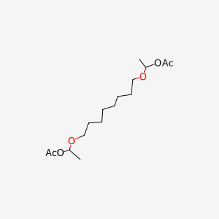 CC(=O)OC(C)OCCCCCCCCOC(C)OC(C)=O